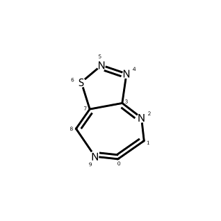 C1=CN=c2nnsc2=CN=1